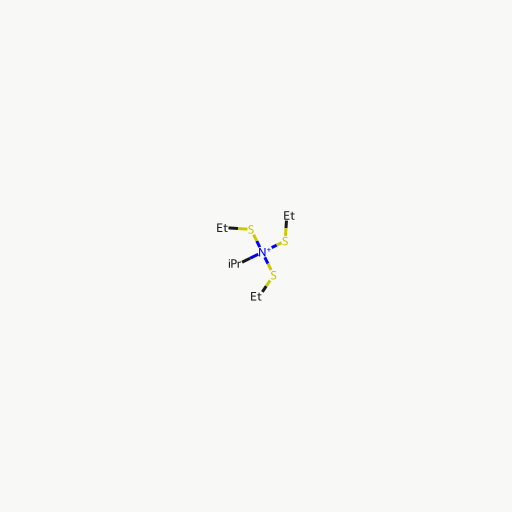 CCS[N+](SCC)(SCC)C(C)C